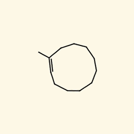 CC1=CCCCCCCCCC1